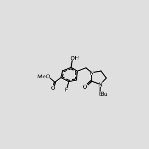 COC(=O)c1cc(O)c(CN2CCN(C(C)(C)C)C2=O)cc1F